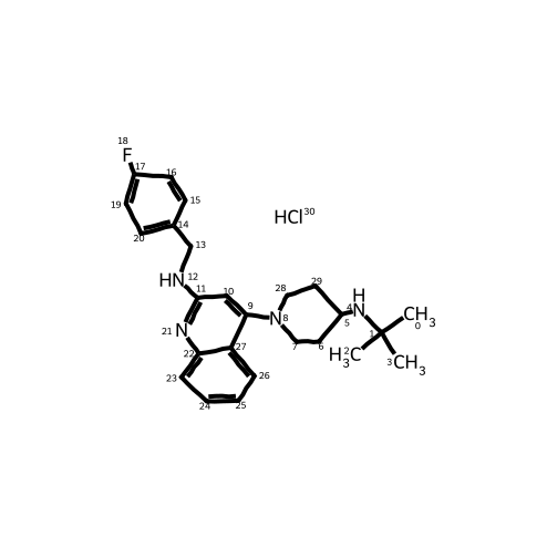 CC(C)(C)NC1CCN(c2cc(NCc3ccc(F)cc3)nc3ccccc23)CC1.Cl